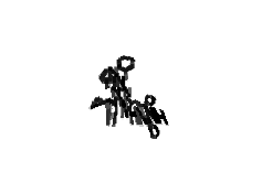 O=C1NC(=O)/C(=C/c2cnn3c(NC4CC4)nc(NCc4ccccc4-n4cccc4)nc23)N1